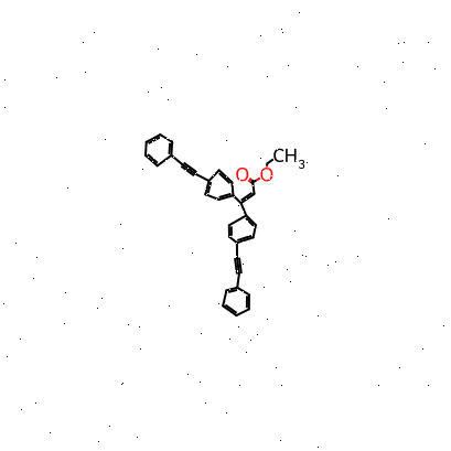 CCOC(=O)C=C(c1ccc(C#Cc2ccccc2)cc1)c1ccc(C#Cc2ccccc2)cc1